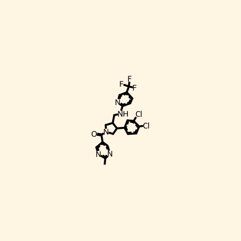 Cc1ncc(C(=O)N2CC(CNc3ccc(C(F)(F)F)cn3)C(c3ccc(Cl)c(Cl)c3)C2)cn1